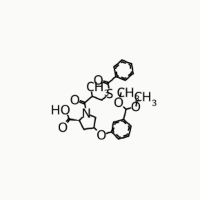 COC(OC)c1cccc(OC2C[C@@H](C(=O)O)N(C(=O)C(C)CSC(=O)c3ccccc3)C2)c1